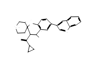 O=C(C1CC1)C1C(O)c2cc(-c3cnc4ccccc4c3)ccc2OC12CCNCC2